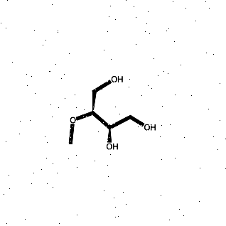 CO[C@@H](CO)[C@H](O)CO